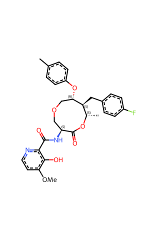 COc1ccnc(C(=O)N[C@H]2COC[C@H](Oc3ccc(C)cc3)[C@@H](Cc3ccc(F)cc3)[C@H](C)OC2=O)c1O